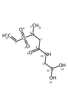 C=CS(=O)(=O)N(C)CC(=O)NCB(O)O